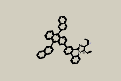 C=C[C@@H]1C(/C=C\C)N=C2c3cc(-c4ccc5c(-c6ccc7ccccc7c6)c6ccccc6c(-c6ccc7ccccc7c6)c5c4)ccc3-c3ccccc3N21